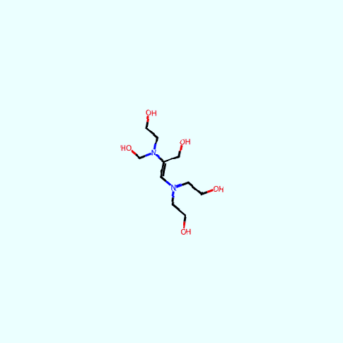 OCCN(/C=C(\CO)N(CO)CCO)CCO